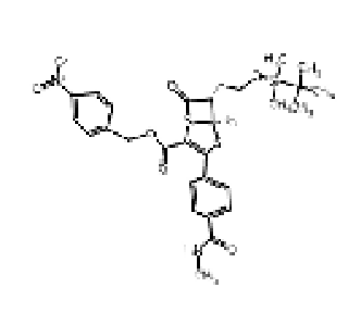 CNC(=O)c1ccc(C2=C(C(=O)OCc3ccc([N+](=O)[O-])cc3)N3C(=O)[C@H](CCO[Si](C)(C)C(C)(C)C)[C@H]3S2)cc1